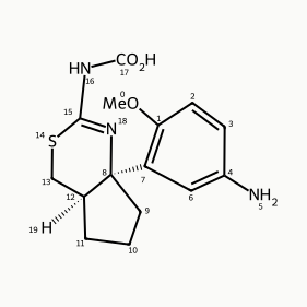 COc1ccc(N)cc1[C@]12CCC[C@H]1CSC(NC(=O)O)=N2